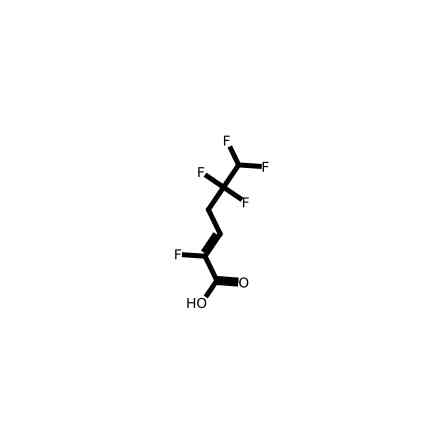 O=C(O)C(F)=CCC(F)(F)C(F)F